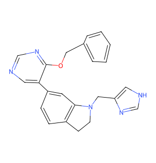 c1ccc(COc2ncncc2-c2ccc3c(c2)N(Cc2c[nH]cn2)CC3)cc1